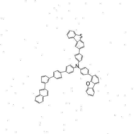 c1cc(-c2ccc(-c3ccc(N(c4ccc(-c5ccc6sc7ccccc7c6c5)cc4)c4ccc(-c5cccc6c5oc5ccccc56)cc4)cc3)cc2)cc(-c2ccc3ccccc3c2)c1